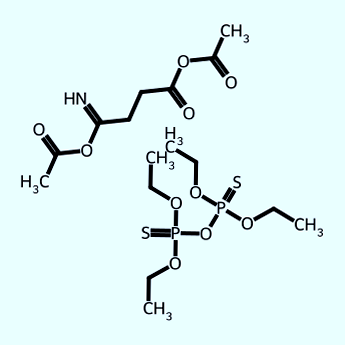 CC(=O)OC(=N)CCC(=O)OC(C)=O.CCOP(=S)(OCC)OP(=S)(OCC)OCC